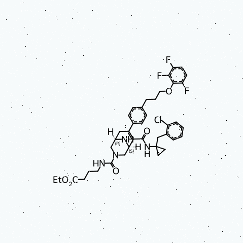 CCOC(=O)CCCNC(=O)N1C[C@H]2CC(c3ccc(CCCOc4c(F)ccc(F)c4F)cc3)=C(C(=O)NC3(Cc4ccccc4Cl)CC3)[C@@H](C1)N2